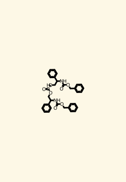 O=C(NC(CO[PH](=O)OCC(NC(=O)OCc1ccccc1)c1ccccc1)c1ccccc1)OCc1ccccc1